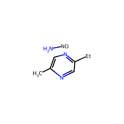 CCc1cnc(C)cn1.NN=O